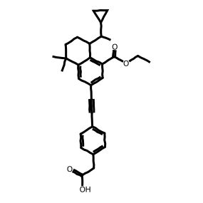 CCOC(=O)c1cc(C#Cc2ccc(CC(=O)O)cc2)cc2c1C(C(C)C1CC1)CCC2(C)C